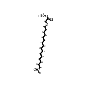 CCCCOC(CC)COCCCCCCCCCCCCCCCC[S+](C)[O-]